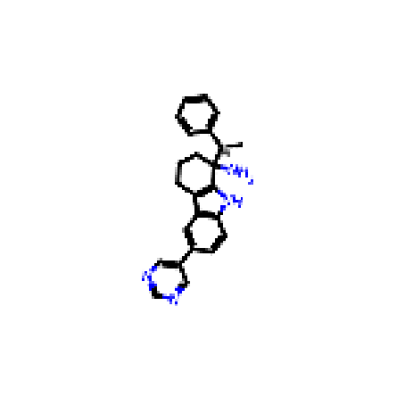 C[C@H](c1ccccc1)C1(N)CCCc2c1[nH]c1ccc(-c3cncnc3)cc21